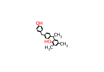 Cc1cc(C)c(O)c(C(C)c2ccc(Cc3ccc(O)cc3)cc2)c1